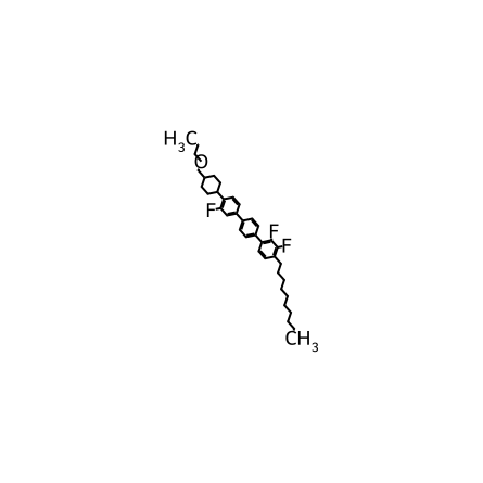 CCCCCCCCCCc1ccc(-c2ccc(-c3ccc(C4CCC(COCCC)CC4)c(F)c3)cc2)c(F)c1F